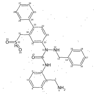 NCc1ccccc1NC(=O)N(NCc1ccccc1)c1ccc(-c2ccccc2)c(C[SH](=O)=O)c1